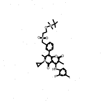 Cc1c(Nc2ccc(I)cc2F)c2c(=O)n(C3CC3)c(C)c(-c3cccc(CS(=O)(=O)CCO[Si](C)(C)C(C)(C)C)c3)c2oc1=O